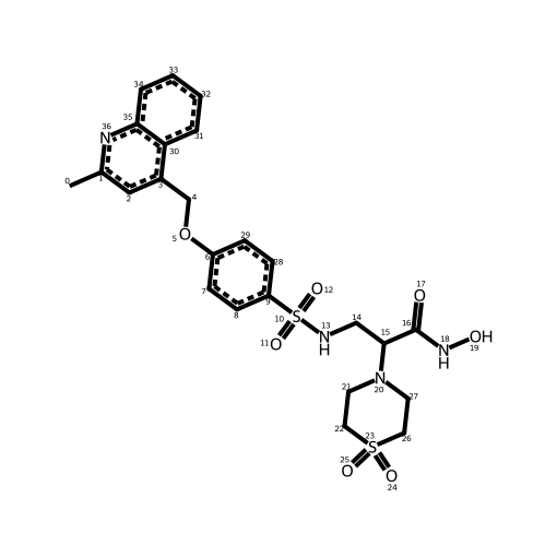 Cc1cc(COc2ccc(S(=O)(=O)NCC(C(=O)NO)N3CCS(=O)(=O)CC3)cc2)c2ccccc2n1